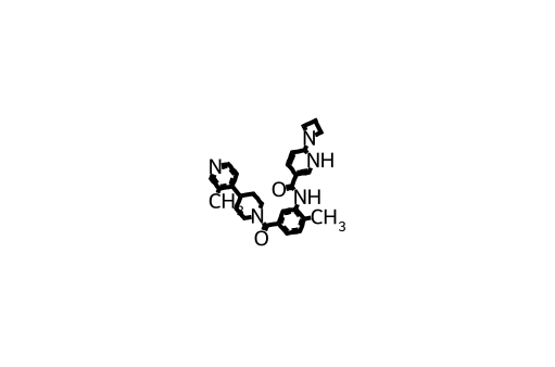 Cc1ccc(C(=O)N2CCC(c3ccncc3C)CC2)cc1NC(=O)C1=CNC(N2CCC2)C=C1